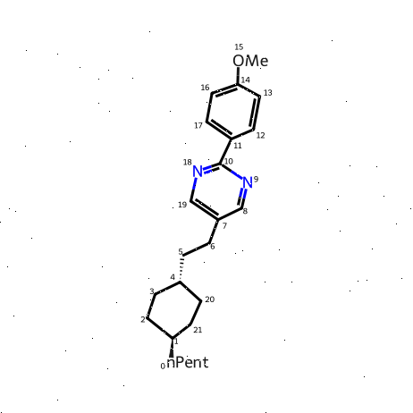 CCCCC[C@H]1CC[C@H](CCc2cnc(-c3ccc(OC)cc3)nc2)CC1